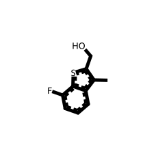 Cc1c(CO)sc2c(F)cccc12